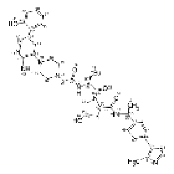 Cc1ncsc1-c1ccc([C@H](C)NC(=O)[C@H]2C[C@H](O)CN2C(=O)[C@@H](NC(=O)CN2CCN(c3cc(-c4ccccc4O)nnc3N)CC2)C(C)(C)C)cc1